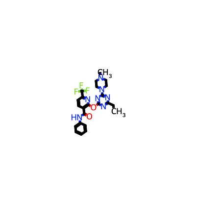 CCc1nc(Oc2nc(C(F)(F)F)ccc2C(=O)Nc2ccccc2)nc(N2CCN(C)CC2)n1